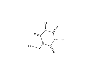 CCn1c(=O)n(CC)c(=O)n(CC(C)C)c1=O